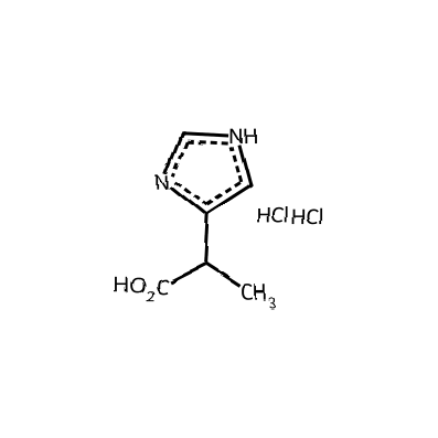 CC(C(=O)O)c1c[nH]cn1.Cl.Cl